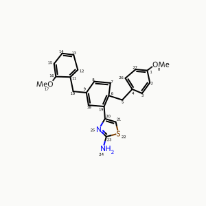 COc1ccc(Cc2ccc(Cc3ccccc3OC)cc2-c2csc(N)n2)cc1